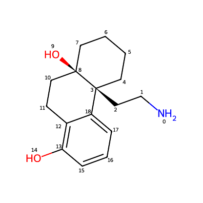 NCC[C@]12CCCC[C@@]1(O)CCc1c(O)cccc12